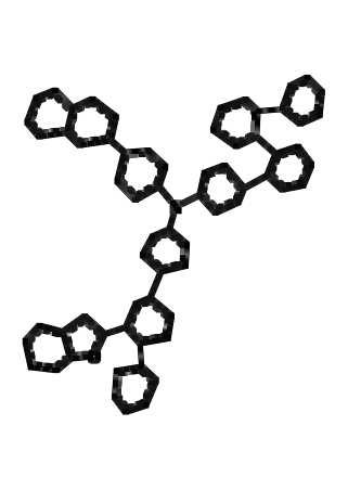 c1ccc(-c2ccc(-c3ccc(N(c4ccc(-c5ccc6ccccc6c5)cc4)c4ccc(-c5ccccc5-c5ccccc5-c5ccccc5)cc4)cc3)cc2-c2cc3ccccc3o2)cc1